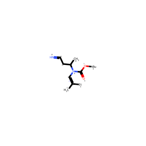 CC/C(C)=C\N(C(=O)OC(C)(C)C)C(C)CC=N